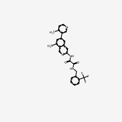 Cc1ccncc1-c1cc(N)c2cnc(NC(=O)C(=O)NCc3ccccc3C(F)(F)F)cc2c1